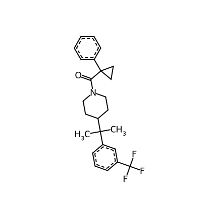 CC(C)(c1cccc(C(F)(F)F)c1)C1CCN(C(=O)C2(c3ccccc3)CC2)CC1